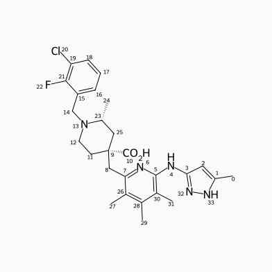 Cc1cc(Nc2nc(C[C@@]3(C(=O)O)CCN(Cc4cccc(Cl)c4F)[C@H](C)C3)c(C)c(C)c2C)n[nH]1